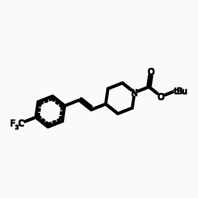 CC(C)(C)OC(=O)N1CCC(/C=C/c2ccc(C(F)(F)F)cc2)CC1